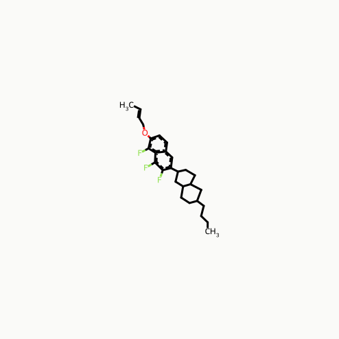 CC=CCOc1ccc2cc(C3CCC4CC(CCCC)CCC4C3)c(F)c(F)c2c1F